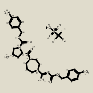 CC(=NC(=O)OCc1ccc([N+](=O)[O-])cc1)N1CCCN(C(=O)[C@@H]2C[C@H](S)CN2C(=O)OCc2ccc([N+](=O)[O-])cc2)CC1.O=S(=O)(O)C(F)(F)F